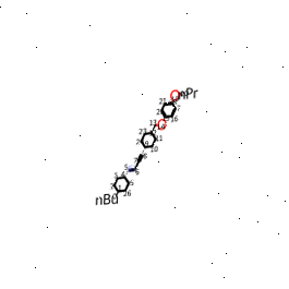 CCCC[C@H]1CC[C@H](/C=C/C#C[C@H]2CC[C@H](COc3ccc(OCCC)cc3)CC2)CC1